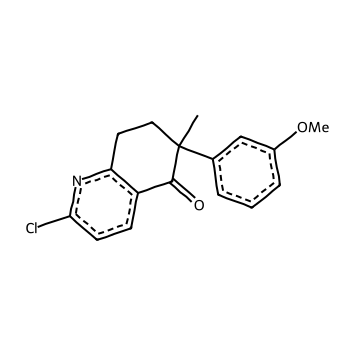 COc1cccc(C2(C)CCc3nc(Cl)ccc3C2=O)c1